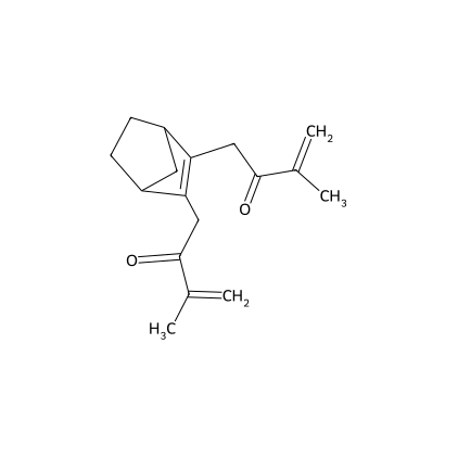 C=C(C)C(=O)CC1=C(CC(=O)C(=C)C)C2CCC1C2